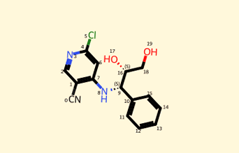 N#Cc1cnc(Cl)cc1N[C@@H](c1ccccc1)[C@H](O)CO